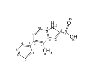 Cc1c(-c2ccccc2)ccc2[nH]c(C(=O)O)cc12